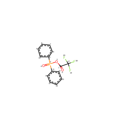 O=C(OP(=O)(c1ccccc1)c1ccccc1)C(F)(F)F